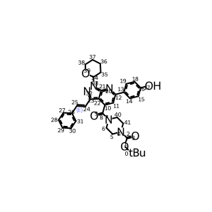 CC(C)(C)OC(=O)N1CCN(C(=O)c2cc(-c3ccc(O)cc3)nc3c2c(/C=C/c2ccccc2)nn3C2CCCCO2)CC1